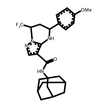 COc1ccc(C2CC(C(F)(F)F)n3ncc(C(=O)NC45CC6CC(CC(C6)C4)C5)c3N2)cc1